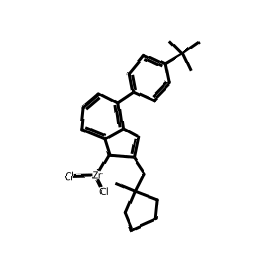 CC1(CC2=Cc3c(-c4ccc(C(C)(C)C)cc4)cccc3[CH]2[Zr]([Cl])[Cl])CCCC1